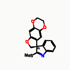 CSC1=Nc2ccccc2[C@]12COc1cc3c(cc12)OCCO3